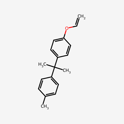 C=COc1ccc(C(C)(C)c2ccc(C)cc2)cc1